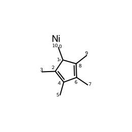 C[C]1C(C)=C(C)C(C)=C1C.[Ni]